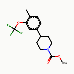 Cc1ccc(C2CCN(C(=O)OC(C)(C)C)CC2)cc1OC(F)(F)Br